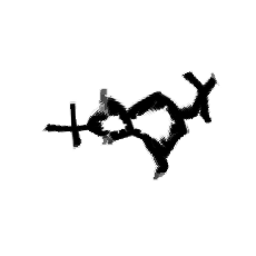 CC(C)(C)c1nc2c(F)cc(C(C)(C)I)cc2s1